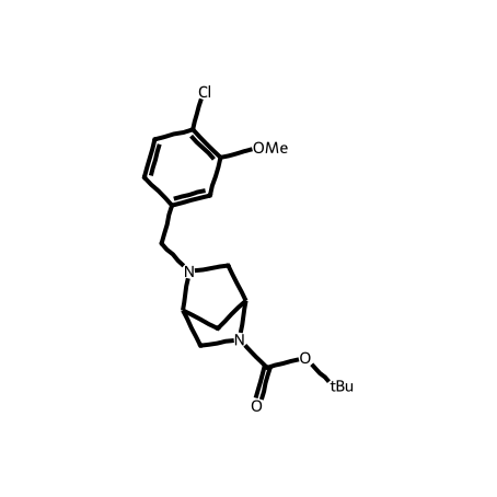 COc1cc(CN2CC3CC2CN3C(=O)OC(C)(C)C)ccc1Cl